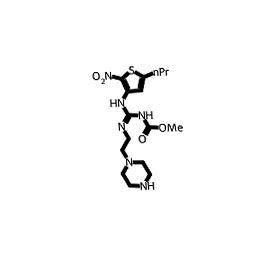 CCCc1cc(NC(=NCCN2CCNCC2)NC(=O)OC)c([N+](=O)[O-])s1